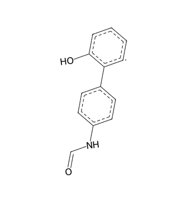 O=CNc1ccc(-c2[c]cccc2O)cc1